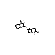 CN(CC(O)COc1ccc2[nH]c(=O)ccc2c1)c1ccccc1